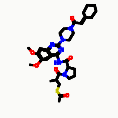 COc1cc2nc(N3CCN(C(=O)C=C4CCCCC4)CC3)nc(NC(=O)C3CCCN3C(=O)C(C)CSC(C)=O)c2cc1OC